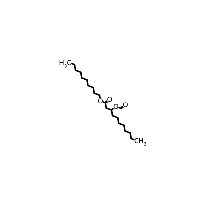 CCCCCCCCCCOC(=O)CC(CCCCCCCC)O[C]=O